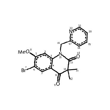 COc1cc2c(cc1Br)C(=O)C(C)(C)C(=O)N2Cc1ccccn1